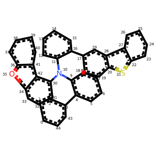 c1ccc(-c2ccccc2N(c2ccccc2-c2ccc3sc4ccccc4c3c2)c2cccc3oc4ccccc4c23)cc1